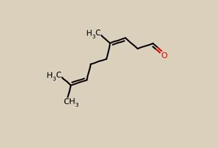 CC(C)=CCC/C(C)=C\CC=O